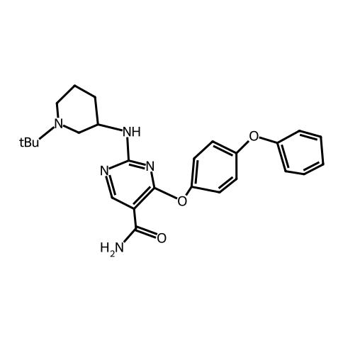 CC(C)(C)N1CCCC(Nc2ncc(C(N)=O)c(Oc3ccc(Oc4ccccc4)cc3)n2)C1